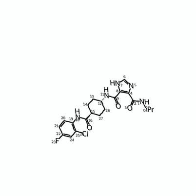 CC(C)NC(=O)c1nc[nH]c1C(=O)N[C@H]1CC[C@H](C(=O)Nc2ccc(F)cc2Cl)CC1